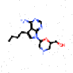 CCCCc1cn(C2CNCC(CO)O2)c2ncnc(N)c12